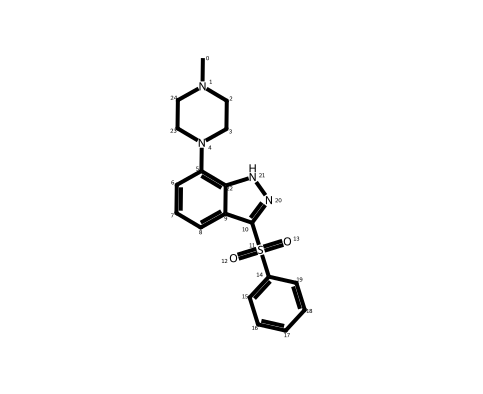 CN1CCN(c2cccc3c(S(=O)(=O)c4ccccc4)n[nH]c23)CC1